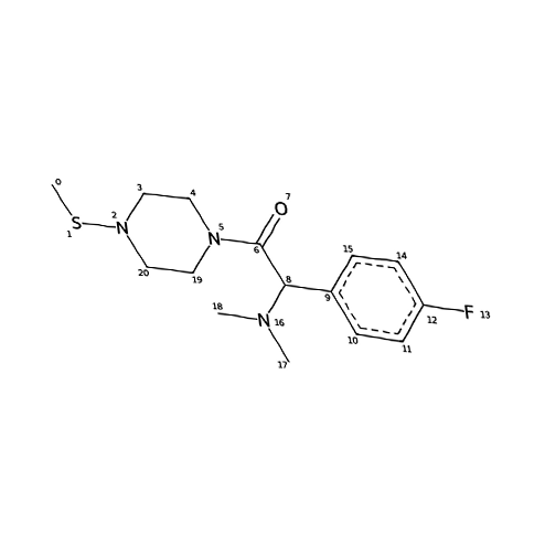 CSN1CCN(C(=O)C(c2ccc(F)cc2)N(C)C)CC1